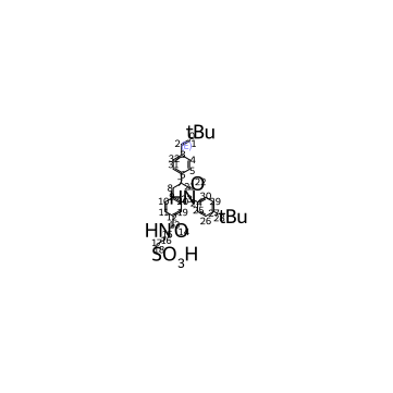 CC(C)(C)/C=C/c1ccc(C(Cc2ccc(C(=O)NCCS(=O)(=O)O)cc2)C(=O)Nc2ccc(C(C)(C)C)cc2)cc1